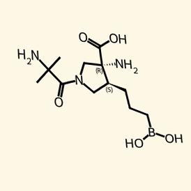 CC(C)(N)C(=O)N1C[C@H](CCCB(O)O)[C@](N)(C(=O)O)C1